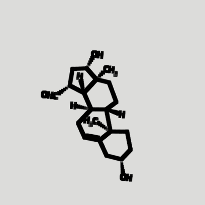 C[C@]12CC[C@H]3[C@@H](CC=C4C[C@@H](O)CC[C@@]43C)[C@@H]1[C@H](C=O)C[C@@H]2O